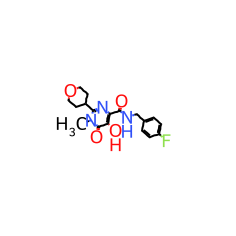 Cn1c(C2CCOCC2)nc(C(=O)NCc2ccc(F)cc2)c(O)c1=O